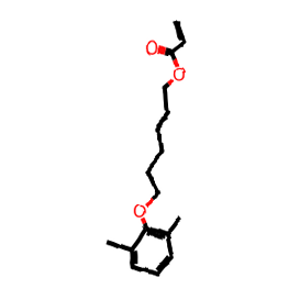 C=CC(=O)OCCCCCCOc1c(C)cccc1C